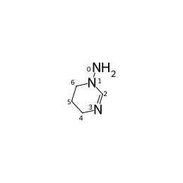 NN1C=NCCC1